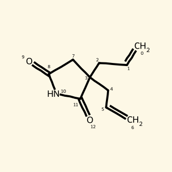 C=CCC1(CC=C)CC(=O)NC1=O